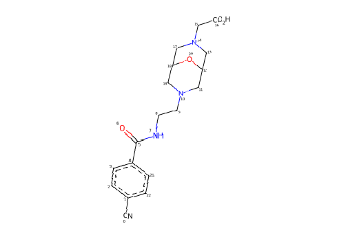 N#Cc1ccc(C(=O)NCCN2CC3CN(CC(=O)O)CC(C2)O3)cc1